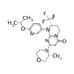 CC(C)Oc1ccc(N2c3nc(N4CCOC[C@H]4C)cc(=O)n3CC[C@H]2C(F)(F)F)cn1